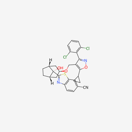 N#Cc1ccc2nc([C@]3(O)[C@@H]4CC[C@H]3C[C@H](OCc3c(-c5c(Cl)cccc5Cl)noc3C3CC3)C4)sc2c1